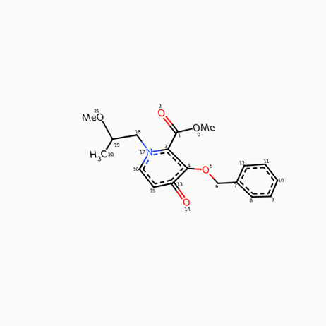 COC(=O)c1c(OCc2ccccc2)c(=O)ccn1CC(C)OC